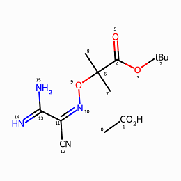 CC(=O)O.CC(C)(C)OC(=O)C(C)(C)ON=C(C#N)C(=N)N